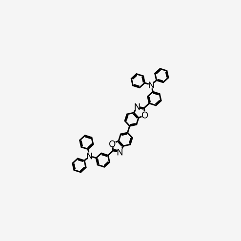 c1ccc(N(c2ccccc2)c2cccc(-c3nc4ccc(-c5ccc6nc(-c7cccc(N(c8ccccc8)c8ccccc8)c7)oc6c5)cc4o3)c2)cc1